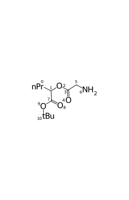 CCCC(OC(=O)CN)C(=O)OC(C)(C)C